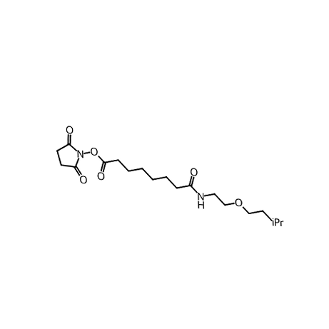 CC(C)CCOCCNC(=O)CCCCCCC(=O)ON1C(=O)CCC1=O